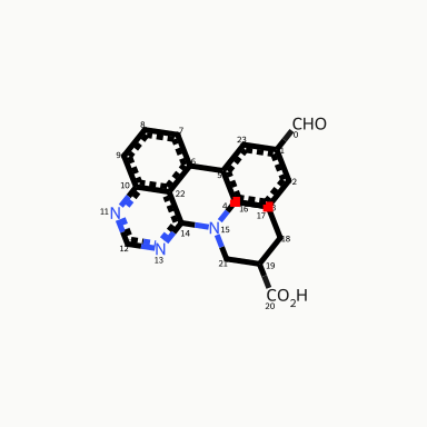 O=Cc1cccc(-c2cccc3ncnc(N4CCCC(C(=O)O)C4)c23)c1